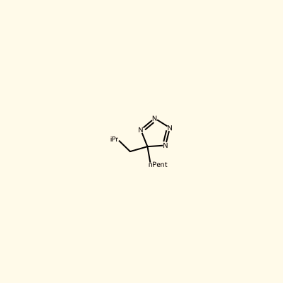 CCCCCC1(CC(C)C)N=NN=N1